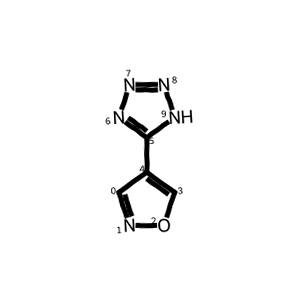 c1nocc1-c1nnn[nH]1